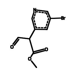 COC(=O)C(C=O)c1cncc(Br)c1